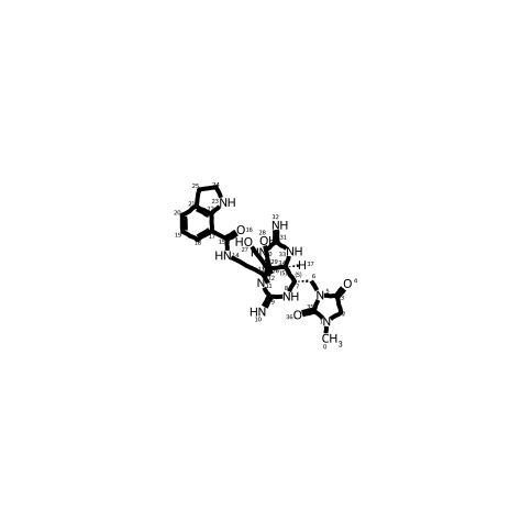 CN1CC(=O)N(C[C@@H]2NC(=N)N3CC(NC(=O)c4cccc5c4NCC5)C(O)(O)[C@@]34NC(=N)N[C@@H]24)C1=O